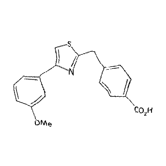 COc1cccc(-c2csc(Cc3ccc(C(=O)O)cc3)n2)c1